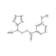 CCCCCCC(CC[PH](=O)c1cccc(OCC)c1)n1ccnc1